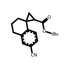 CC(C)(C)OC(=O)C1CC12CCCc1cc(C#N)ccc12